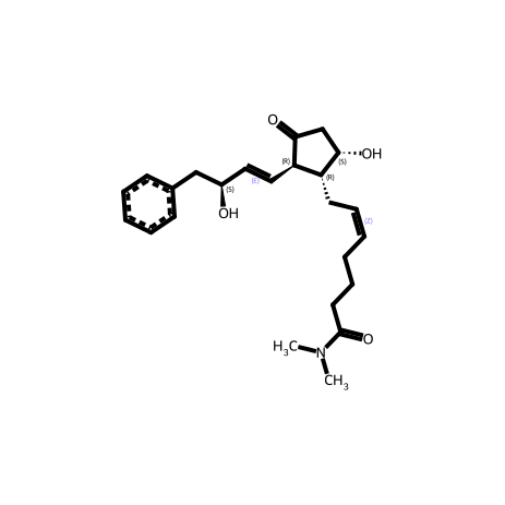 CN(C)C(=O)CCC/C=C\C[C@H]1[C@@H](O)CC(=O)[C@@H]1/C=C/[C@@H](O)Cc1ccccc1